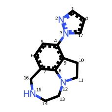 c1cnn(-c2ccc3c4c2CCN4CCNC3)c1